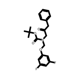 CC(C)(C)OC(=O)N(COc1cc(F)cc(F)c1)CC(=O)Cc1ccccc1